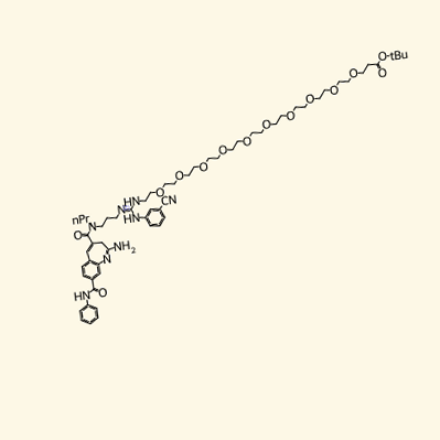 CCCN(CCC/N=C(/NCCOCCOCCOCCOCCOCCOCCOCCOCCOCCOCCC(=O)OC(C)(C)C)Nc1cccc(C#N)c1)C(=O)C1=Cc2ccc(C(=O)Nc3ccccc3)cc2N=C(N)C1